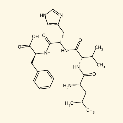 CC(C)C[C@H](N)C(=O)N[C@H](C(=O)N[C@@H](Cc1c[nH]cn1)C(=O)N[C@@H](Cc1ccccc1)C(=O)O)C(C)C